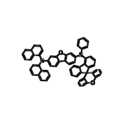 c1ccc(N(c2ccc3c(c2)oc2cc(N(c4cccc5ccccc45)c4cccc5ccccc45)ccc23)c2cccc3c2-c2ccccc2C32c3ccccc3Oc3ccccc32)cc1